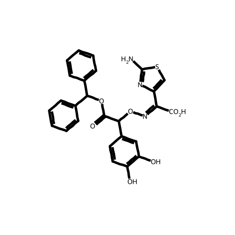 Nc1nc(C(=NOC(C(=O)OC(c2ccccc2)c2ccccc2)c2ccc(O)c(O)c2)C(=O)O)cs1